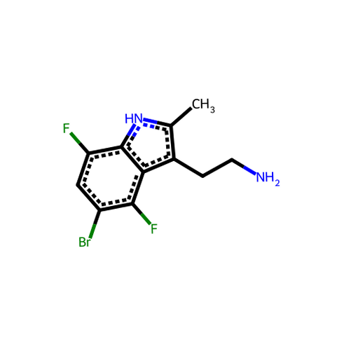 Cc1[nH]c2c(F)cc(Br)c(F)c2c1CCN